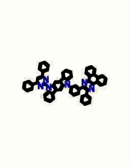 c1ccc(-c2cc(-c3ccccc3)nc(-n3c4ccccc4c4cc5c(cc43)c3ccccc3n5-c3cccc(-c4nc5c6ccccc6c6ccccc6c5nc4-c4ccccc4)c3)n2)cc1